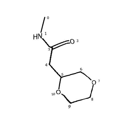 CNC(=O)CC1COCCO1